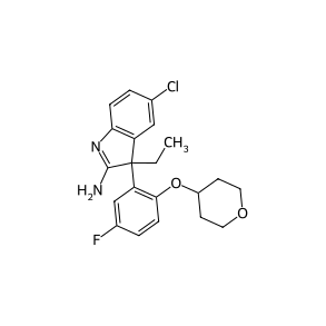 CCC1(c2cc(F)ccc2OC2CCOCC2)C(N)=Nc2ccc(Cl)cc21